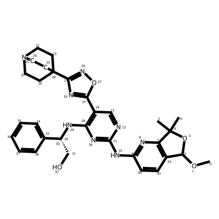 COC1OC(C)(C)c2nc(Nc3ncc(-c4nc(C56CCN(CC5)CC6)no4)c(N[C@H](CO)c4ccccc4)n3)ccc21